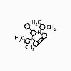 Cc1cc(C)cc(N2c3cc(-c4ccccc4)cc(c3)N(c3cc(C)cc(C)c3)c3cccc4c3sc3c2cccc34)c1